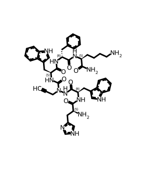 C#CCN(NC(=O)[C@@H](Cc1c[nH]c2ccccc12)NC(=O)[C@@H](N)Cc1c[nH]cn1)C(=O)N[C@@H](Cc1c[nH]c2ccccc12)C(=O)N[C@H](Cc1ccccc1)C(=O)N[C@@H](CCCCN)C(N)=O